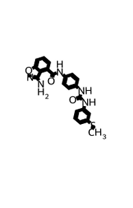 CSc1cccc(NC(=O)Nc2ccc(NC(=O)c3cccc4onc(N)c34)cc2)c1